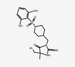 CC(C)CC1(C)NC(=N)N(CC2CCN(S(=O)(=O)c3c(O)cccc3O)CC2)C1=O